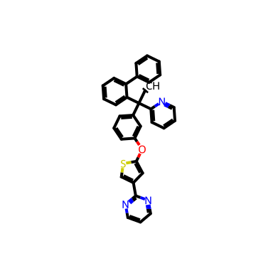 C#CC(c1cccc(Oc2cc(-c3ncccn3)cs2)c1)(c1ccccn1)c1ccccc1-c1ccccc1